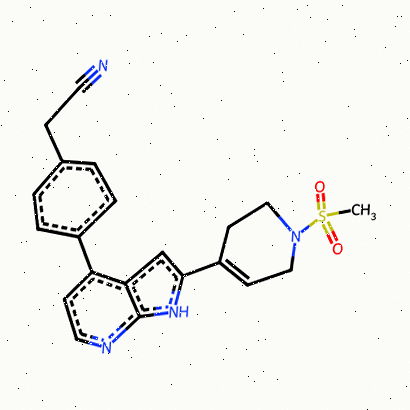 CS(=O)(=O)N1CC=C(c2cc3c(-c4ccc(CC#N)cc4)ccnc3[nH]2)CC1